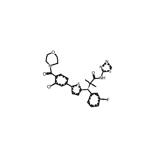 CC(C)(C(=O)Nc1nncs1)[C@@H](c1cccc(F)c1)c1ccc(-c2ccc(C(=O)N3CCOCC3)c(Cl)c2)s1